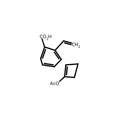 C=Cc1ccccc1C(=O)O.CC(=O)OC1=CCC1